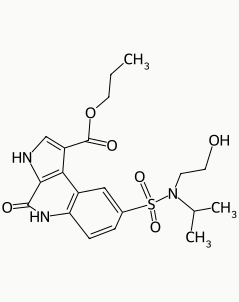 CCCOC(=O)c1c[nH]c2c(=O)[nH]c3ccc(S(=O)(=O)N(CCO)C(C)C)cc3c12